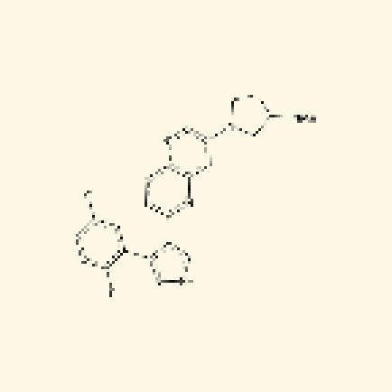 CNC1CCN(c2cnc3ccc(-c4c[nH]nc4-c4cc(Cl)ccc4F)nc3c2)C1